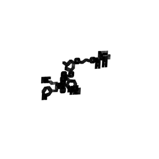 Cc1cc(OCCCONC(=N)N)cc(OS(=O)(=O)c2ccccc2S(=O)(=O)N(CCC#N)Cc2cccnc2)c1.Cl.Cl